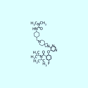 CC(C)N(C(=O)c1cc(F)ccc1Oc1cncnc1N1CC2(CCN(CC3CCC(NC(=O)N(C)C)CC3)CC2)C1)C(C)C